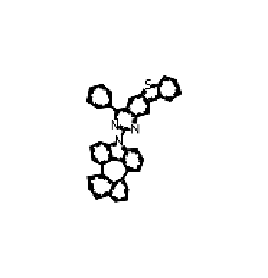 c1ccc(-c2nc(-n3c4cccc5c4c4c(cccc43)-c3cccc4cccc-5c34)nc3cc4c(cc23)sc2ccccc24)cc1